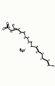 CCCCCCCCCCCCCCCN(C)CC(=O)[O-].[Na+]